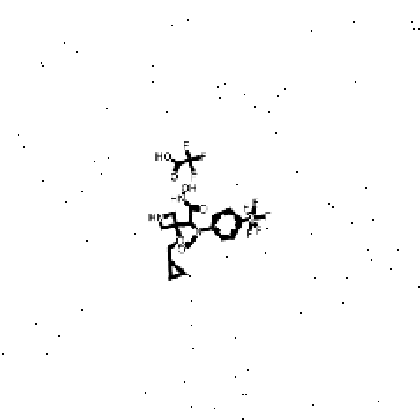 O=C(O)C(F)(F)F.O=CN(c1ccc(S(F)(F)(F)(F)F)cc1)C(C(=O)NO)C1(OCC2CC2)CNC1